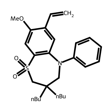 C=Cc1cc2c(cc1OC)S(=O)(=O)CC(CCCC)(CCCC)CN2c1ccccc1